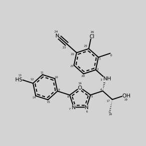 Cc1c(N[C@@H](c2nnc(-c3ccc(S)cc3)o2)[C@@H](C)O)ccc(C#N)c1Cl